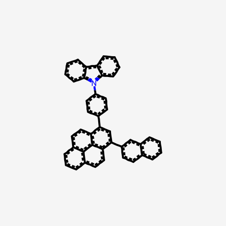 c1ccc2cc(-c3cc(-c4ccc(-n5c6ccccc6c6ccccc65)cc4)c4ccc5cccc6ccc3c4c56)ccc2c1